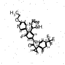 CCOc1ccc(-c2c(F)cc(NC(=O)C3(c4ccc(C(F)(F)F)cc4F)CC3)cc2-c2nnn[nH]2)cn1